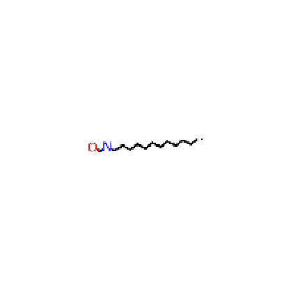 [CH2]CCCCCCCCCCC[N]C=O